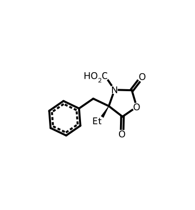 CC[C@]1(Cc2ccccc2)C(=O)OC(=O)N1C(=O)O